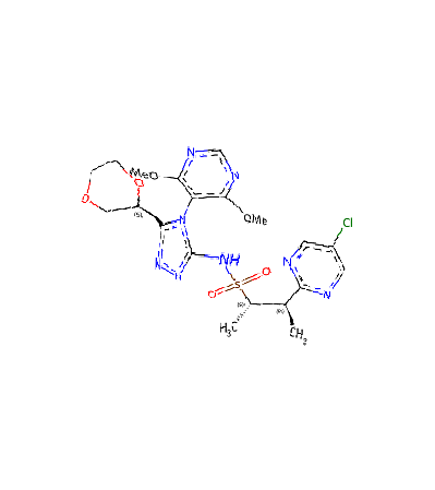 COc1ncnc(OC)c1-n1c(NS(=O)(=O)[C@@H](C)[C@H](C)c2ncc(Cl)cn2)nnc1[C@H]1COCCO1